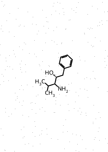 CC(C)C(N)[C@@H](O)Cc1ccccc1